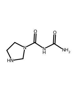 NC(=O)NC(=O)N1CCNC1